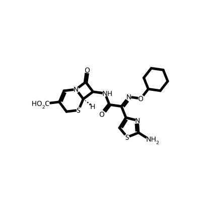 Nc1nc(C(=NOC2CCCCC2)C(=O)NC2C(=O)N3C=C(C(=O)O)CS[C@H]23)cs1